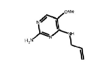 C=CCNc1nc(N)ncc1OC